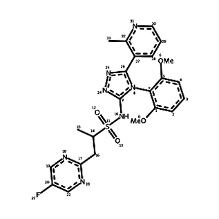 COc1cccc(OC)c1-n1c(NS(=O)(=O)C(C)Cc2ncc(F)cn2)nnc1-c1cccnc1C